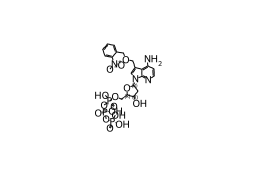 Nc1ccnc2c1c(COCc1ccccc1[N+](=O)[O-])cn2[C@H]1C[C@@H](O)[C@@H](COP(=O)(O)OP(=O)(O)OP(=O)(O)O)O1